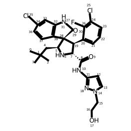 CC(C)(C)C[C@@H]1N[C@@H](C(=O)Nc2ccn(CCO)n2)[C@H](c2cccc(Cl)c2F)[C@]12C(=O)Nc1cc(Cl)ccc12